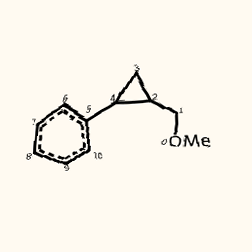 COCC1CC1c1ccccc1